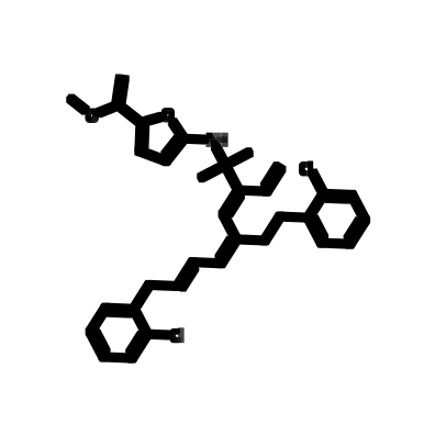 C=C\C(=C/C(=C\C=C\Cc1ccccc1Cl)CCc1ccccc1Cl)C(C)(C)Nc1ccc(C(=C)OC)o1